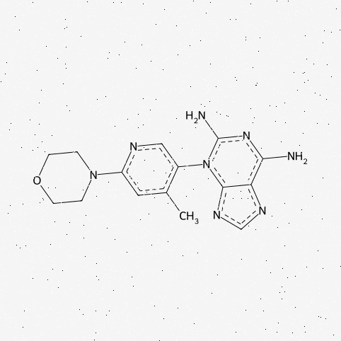 Cc1cc(N2CCOCC2)ncc1-n1c(N)nc(N)c2ncnc1-2